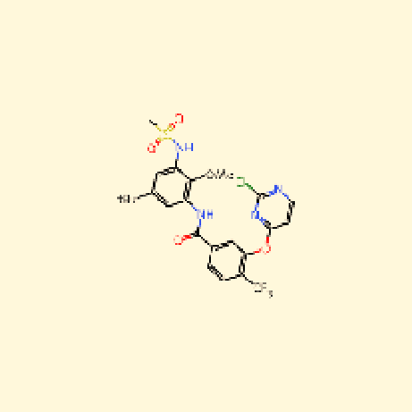 COc1c(NC(=O)c2ccc(C(F)(F)F)c(Oc3ccnc(Cl)n3)c2)cc(C(C)(C)C)cc1NS(C)(=O)=O